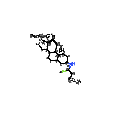 CCC[C@@H](C)[C@H]1CCC2C3CCC4CC(NC(F)CC(=O)O)CC[C@]4(C)C3CC[C@@]21C